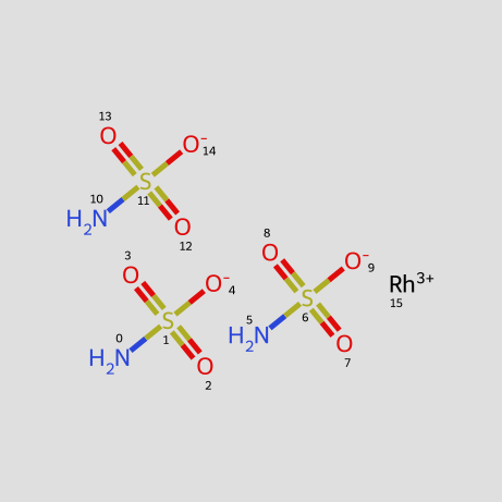 NS(=O)(=O)[O-].NS(=O)(=O)[O-].NS(=O)(=O)[O-].[Rh+3]